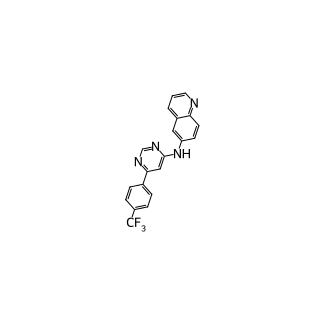 FC(F)(F)c1ccc(-c2cc(Nc3ccc4ncccc4c3)ncn2)cc1